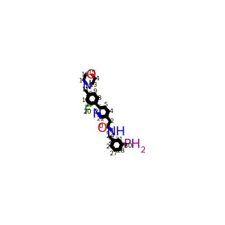 O=C(Cc1ccc(-c2ccc(CN3CCOCC3)cc2F)nc1)NCc1cccc(P)c1